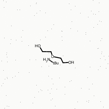 CC(C)(C)N.OCCOCCO